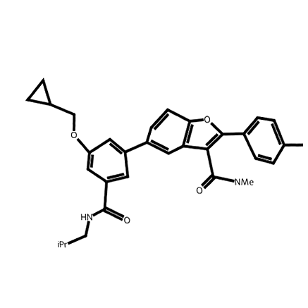 CNC(=O)c1c(-c2ccc(F)cc2)oc2ccc(-c3cc(OCC4CC4)cc(C(=O)NCC(C)C)c3)cc12